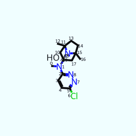 CN(c1ccc(Cl)nn1)C1CC2(C)CCC(C)(C1)N2C(=O)O